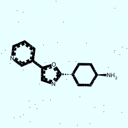 N[C@H]1CC[C@H](c2ncc(-c3cccnc3)o2)CC1